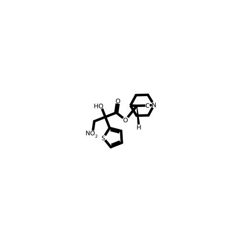 O=C(O[C@H]1CN2CCC1CC2)C(O)(C[N+](=O)[O-])c1cccs1